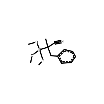 CO[Si](OC)(OC)C(C)(C#N)Cc1ccccc1